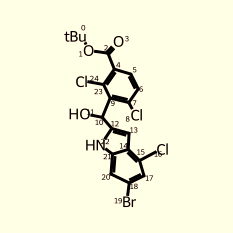 CC(C)(C)OC(=O)c1ccc(Cl)c(C(O)c2cc3c(Cl)cc(Br)cc3[nH]2)c1Cl